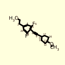 CCCc1cc(F)c(C#CC2CCC(OC)CC2)c(F)c1